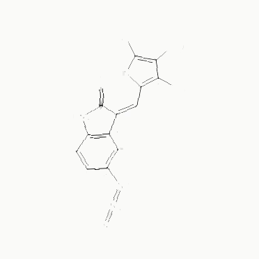 CCOC(=O)c1c(C)[nH]c(/C=C2\C(=O)Nc3ccc(N=[N+]=[N-])cc32)c1C